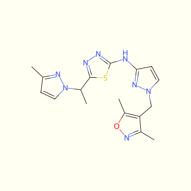 Cc1ccn(C(C)c2nnc(Nc3ccn(Cc4c(C)noc4C)n3)s2)n1